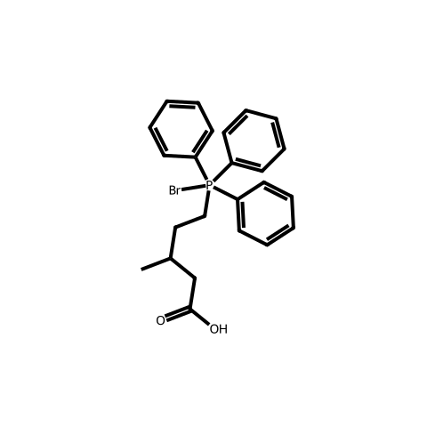 CC(CCP(Br)(c1ccccc1)(c1ccccc1)c1ccccc1)CC(=O)O